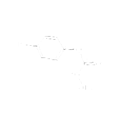 CC(C)c1ccc(OC(=O)OC(C)(C)C)cc1